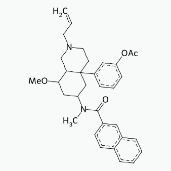 C=CCN1CCC2(c3cccc(OC(C)=O)c3)CC(N(C)C(=O)c3ccc4ccccc4c3)CC(OC)C2C1